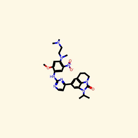 COc1cc(N(C)CCN(C)C)c([N+](=O)[O-])cc1Nc1nccc(-c2cc3c4c(c2)n(C(C)C)c(=O)n4CCC3)n1